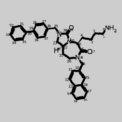 NCCCC[C@H]1C(=O)N(Cc2ccc3ccccc3c2)CC[C@H]2CN(Cc3ccc(-c4ccccc4)cc3)C(=O)N21